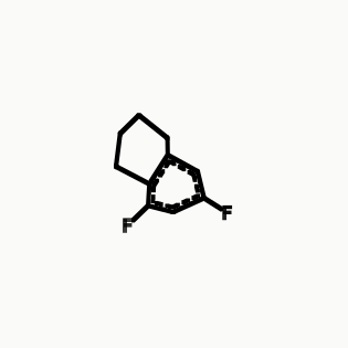 Fc1cc(F)c2c(c1)CCCC2